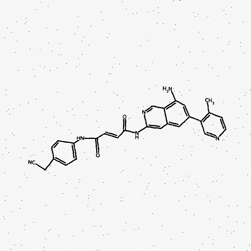 Cc1ccncc1-c1cc(N)c2cnc(NC(=O)/C=C/C(=O)Nc3ccc(CC#N)cc3)cc2c1